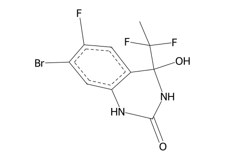 CC(F)(F)C1(O)NC(=O)Nc2cc(Br)c(F)cc21